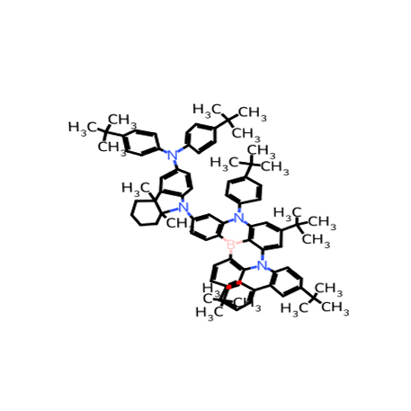 CC(C)(C)c1ccc(N(c2ccc(C(C)(C)C)cc2)c2ccc3c(c2)C2(C)CCCCC2(C)N3c2ccc3c(c2)N(c2ccc(C(C)(C)C)cc2)c2cc(C(C)(C)C)cc4c2B3c2ccc(C(C)(C)C)cc2N4c2ccc(C(C)(C)C)cc2-c2ccccc2)cc1